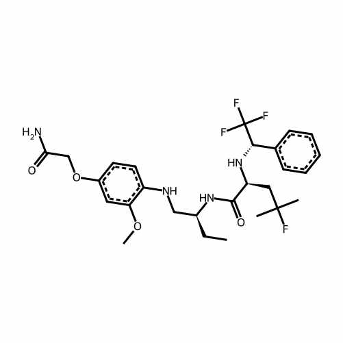 CC[C@@H](CNc1ccc(OCC(N)=O)cc1OC)NC(=O)[C@H](CC(C)(C)F)N[C@@H](c1ccccc1)C(F)(F)F